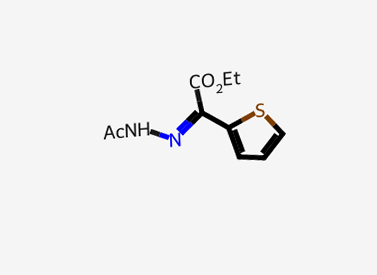 CCOC(=O)C(=NNC(C)=O)c1cccs1